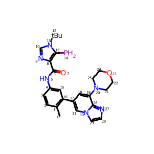 Cc1ccc(NC(=O)c2ncn(C(C)(C)C)c2P)cc1-c1cc(N2CCOCC2)c2nccn2c1